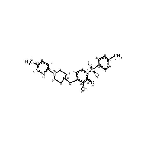 Cc1ccc(S(=O)(=O)n2ccc(CN3CCN(c4ccc(C)nn4)CC3)c(O)c2=O)cc1